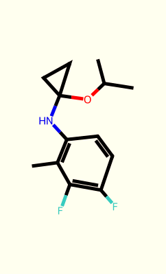 Cc1c(NC2(OC(C)C)CC2)ccc(F)c1F